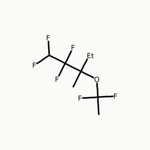 CCC(C)(OC(C)(F)F)C(F)(F)C(F)F